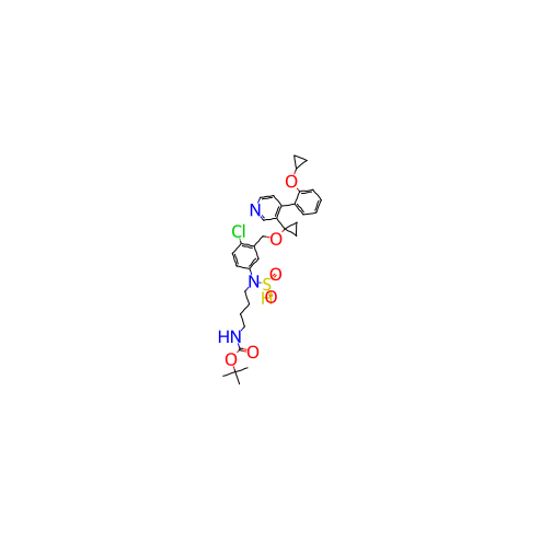 CC(C)(C)OC(=O)NCCCCN(c1ccc(Cl)c(COC2(c3cnccc3-c3ccccc3OC3CC3)CC2)c1)[SH](=O)=O